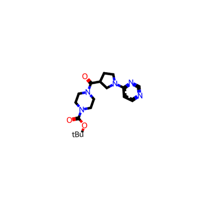 CC(C)(C)OC(=O)N1CCN(C(=O)C2CCN(c3ccncn3)C2)CC1